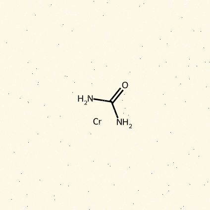 NC(N)=O.[Cr]